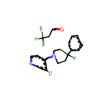 FC1(c2ccccc2)CCN(c2ccncc2Cl)CC1.O=CCC(F)(F)F